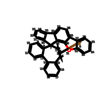 Brc1ccc2c(c1)C1(c3ccccc3-c3ccccc3-2)c2ccccc2-c2ccc3c(oc4ccccc43)c21